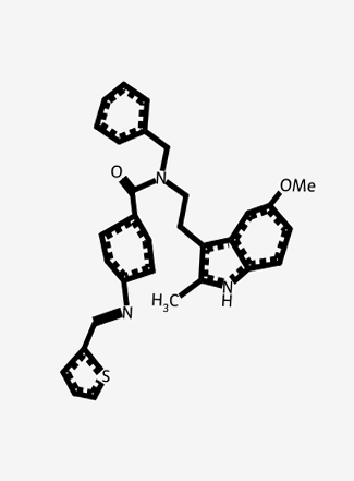 COc1ccc2[nH]c(C)c(CCN(Cc3ccccc3)C(=O)c3ccc(N=Cc4cccs4)cc3)c2c1